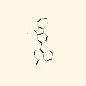 C=C(I)/C=C\C(=C1\C=CC=CC1)c1ccc2c(c1)C(C)(C)C1=C2CCC=C1